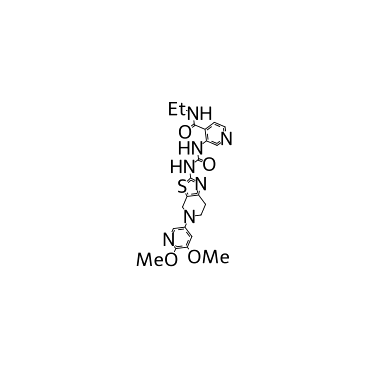 CCNC(=O)c1ccncc1NC(=O)Nc1nc2c(s1)CN(c1cnc(OC)c(OC)c1)CC2